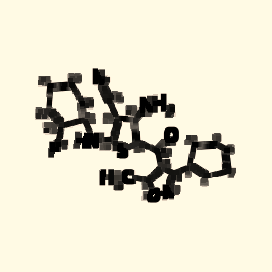 Cc1onc(-c2ccccc2)c1C(=O)c1sc(Nc2ccccc2F)c(C#N)c1N